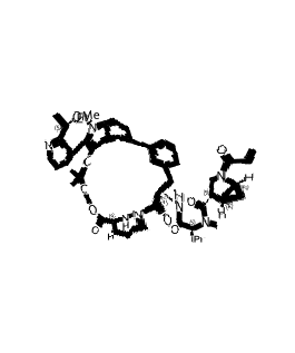 C=CC(=O)N1C[C@@H](C(=O)N(C)[C@H](C(=O)N[C@H]2Cc3cccc(c3)-c3ccc4c(c3)c(c(-c3cccnc3[C@H](C)OC)n4CC)CC(C)(C)COC(=O)[C@@H]3CCCN(N3)C2=O)C(C)C)[C@H]2C[C@H]21